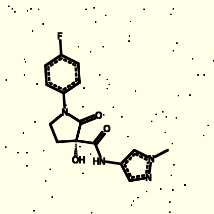 Cn1cc(NC(=O)[C@@]2(O)CCN(c3ccc(F)cc3)C2=O)cn1